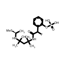 CS[C@@H](C)NC(C)(C)CC(C)(C)NC(=O)C(F)c1ccccc1OP(=O)(O)O